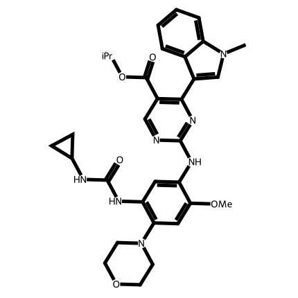 COc1cc(N2CCOCC2)c(NC(=O)NC2CC2)cc1Nc1ncc(C(=O)OC(C)C)c(-c2cn(C)c3ccccc23)n1